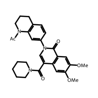 COc1cc2c(C(=O)N3CCCCC3)cn(-c3ccc4c(c3)N(C(C)=O)CCC4)c(=O)c2cc1OC